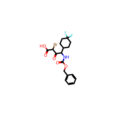 O=C(NC(C(=O)C(Br)C(=O)O)C1CCC(F)(F)CC1)OCc1ccccc1